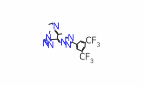 C\C=N/C=C(C)/C(=C\n1cnc(-c2cc(C(F)(F)F)cc(C(F)(F)F)c2)n1)c1nncn1C